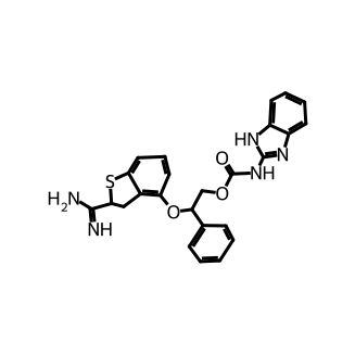 N=C(N)C1Cc2c(OC(COC(=O)Nc3nc4ccccc4[nH]3)c3ccccc3)cccc2S1